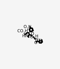 CC1=C(C(=O)O)[C@@H](c2cccc([N+](=O)[O-])c2)C(C(=O)OCCNC(=O)c2ccccn2)=C(C)N1